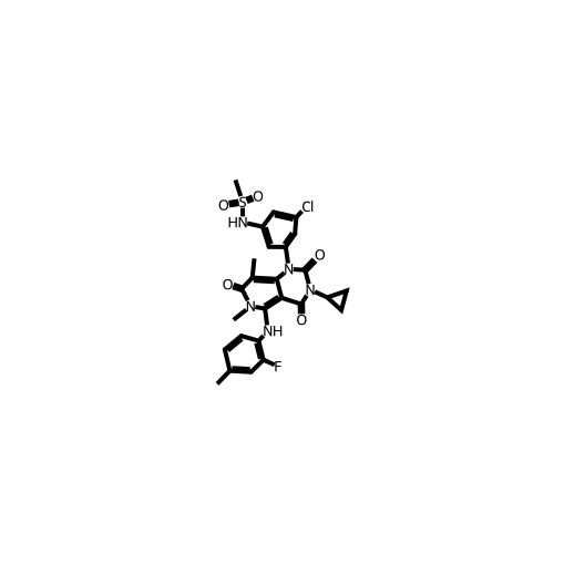 Cc1ccc(Nc2c3c(=O)n(C4CC4)c(=O)n(-c4cc(Cl)cc(NS(C)(=O)=O)c4)c3c(C)c(=O)n2C)c(F)c1